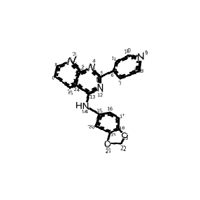 c1cnc2nc(-c3ccncc3)nc(Nc3ccc4c(c3)OCO4)c2c1